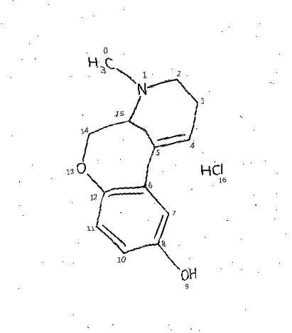 CN1CCC=C2c3cc(O)ccc3OCC21.Cl